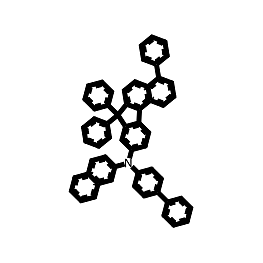 c1ccc(-c2ccc(N(c3ccc4c(c3)C(c3ccccc3)(c3ccccc3)c3ccc5c(-c6ccccc6)cccc5c3-4)c3ccc4ccccc4c3)cc2)cc1